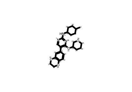 CC1CCC(Nc2ncc(-c3ccc4c(c3)OCCO4)c(OC3CCCOC3)n2)CC1